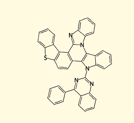 c1ccc(-c2nc(-n3c4ccccc4c4c3c3ccc5sc6ccccc6c5c3c3nc5ccccc5n34)nc3ccccc23)cc1